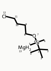 CC(C)(C)[Si](C)(C)OCCCCCl.[MgH2]